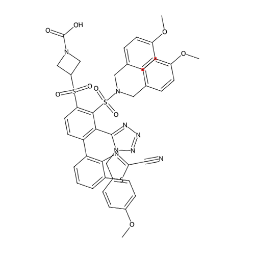 COc1ccc(CN(Cc2ccc(OC)cc2)S(=O)(=O)c2c(S(=O)(=O)C3CN(C(=O)O)C3)ccc(-c3cccc4sc(C#N)nc34)c2-c2nnnn2Cc2ccc(OC)cc2)cc1